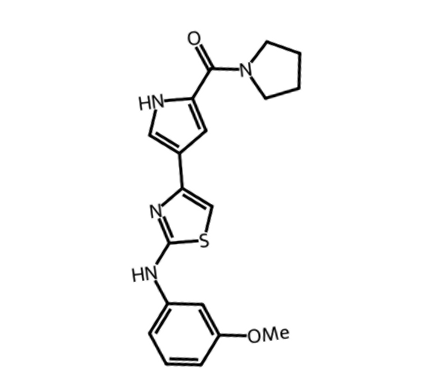 COc1cccc(Nc2nc(-c3c[nH]c(C(=O)N4CCCC4)c3)cs2)c1